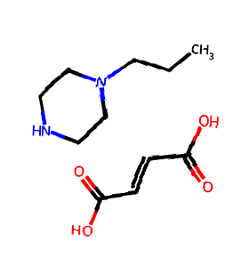 CCCN1CCNCC1.O=C(O)C=CC(=O)O